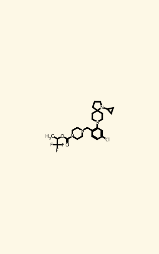 CC(OC(=O)N1CCN(Cc2ccc(Cl)cc2N2CCC3(CCCN3C3CC3)CC2)CC1)C(F)(F)F